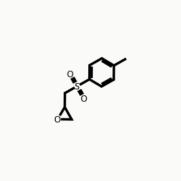 Cc1ccc(S(=O)(=O)CC2CO2)cc1